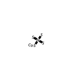 [Co].[S]=[Ni](=[S])(=[S])=[S]